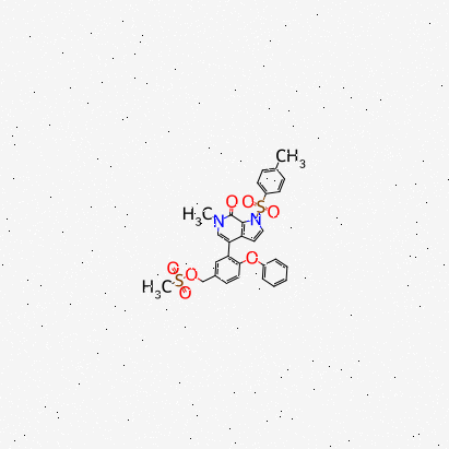 Cc1ccc(S(=O)(=O)n2ccc3c(-c4cc(COS(C)(=O)=O)ccc4Oc4ccccc4)cn(C)c(=O)c32)cc1